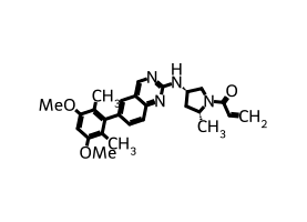 C=CC(=O)N1C[C@@H](Nc2ncc3cc(-c4c(C)c(OC)cc(OC)c4C)ccc3n2)C[C@H]1C